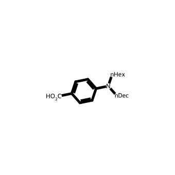 CCCCCCCCCCN(CCCCCC)c1ccc(C(=O)O)cc1